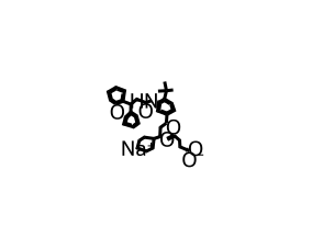 CC(C)(C)c1ccc(C(CCC2CCCCC2)OC(=O)CCC(=O)[O-])cc1NC(=O)CC1c2ccccc2Oc2ccccc21.[Na+]